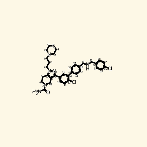 NC(=O)N1CCc2c(c(-c3ccc(Cl)c(-c4ccc(CNCc5ccc(Cl)cc5)cc4)c3)nn2CCCN2CCSCC2)C1